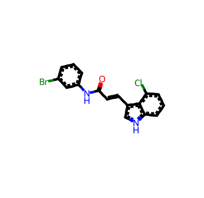 O=C(/C=C/c1c[nH]c2cccc(Cl)c12)Nc1cccc(Br)c1